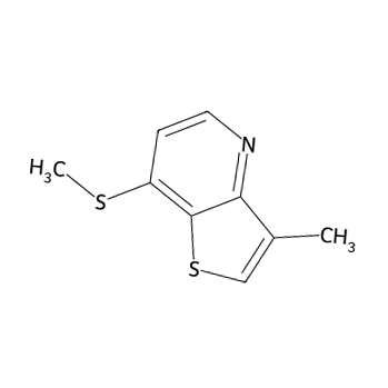 CSc1ccnc2c(C)csc12